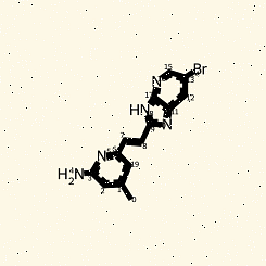 Cc1cc(N)nc(C=Cc2nc3cc(Br)cnc3[nH]2)c1